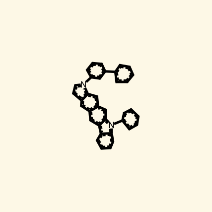 c1ccc(-c2cccc(-n3ccc4cc5cc6c7ccccc7n(-c7ccccc7)c6cc5cc43)c2)cc1